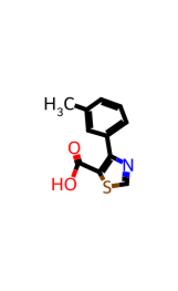 Cc1cccc(-c2ncsc2C(=O)O)c1